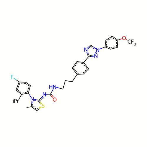 Cc1cs/c(=N\C(=O)NCCCc2ccc(-c3ncn(-c4ccc(OC(F)(F)F)cc4)n3)cc2)n1-c1ccc(F)cc1C(C)C